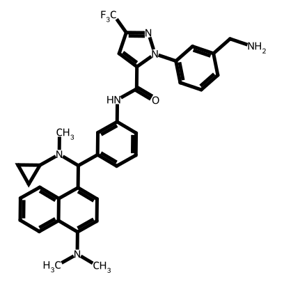 CN(C)c1ccc(C(c2cccc(NC(=O)c3cc(C(F)(F)F)nn3-c3cccc(CN)c3)c2)N(C)C2CC2)c2ccccc12